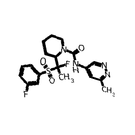 Cc1cc(NC(=O)N2CCCCC2C(C)(F)S(=O)(=O)c2cccc(F)c2)cnn1